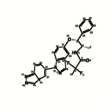 C[C@H](NC(=O)C(C)(F)F)[C@H](Oc1ccc2c(cnn2-c2ccc3nncn3c2)c1)c1ccccc1